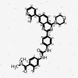 CN(C)C(=O)c1ccc(NC(=O)Nc2ccc(-c3nc(N4CCOCC4)c4ccc(-c5cccnc5F)cc4n3)cc2)cc1F